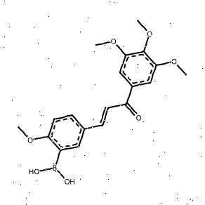 COc1ccc(/C=C/C(=O)c2cc(OC)c(OC)c(OC)c2)cc1B(O)O